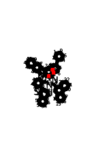 c1ccc(-c2ccc(C3=NC(c4cc5ccccc5c5ccccc45)NC(c4c(-n5c6ccccc6c6cc7ccccc7cc65)ccc5sc6c7ccccc7ccc6c45)=N3)cc2)cc1